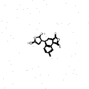 Cc1ccc2c(c1)C1C(=O)OC(=O)C1CC2C1CC(O)OC1O